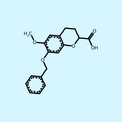 COc1cc2c(cc1OCc1ccccc1)OC(C(=O)O)CC2